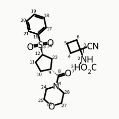 N#CC1(NC(=O)O)CCC1.O=C([C@@H]1CC[C@@H](S(=O)(=O)c2ccccc2)C1)N1CCOCC1